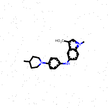 CC1CCN(c2ccc(Nc3ccc4c(c3)c(C(=O)O)cn4C)cc2)CC1